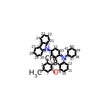 Cc1cc(C)c2c(c1)Oc1cccc3c1B2c1cc(-n2c4ccccc4c4ccccc42)ccc1N3c1ccccc1